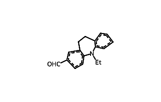 CCN1c2ccccc2CCc2cc(C=O)ccc21